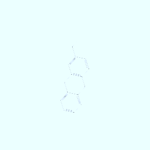 OCc1ccc2c(c1)Cc1ccccc1C2